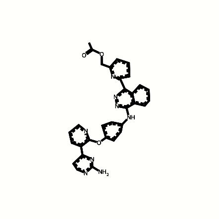 CC(=O)OCc1cccc(-c2nnc(Nc3ccc(Oc4ncccc4-c4ccnc(N)n4)cc3)c3ccccc23)n1